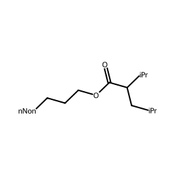 CCCCCCCCCCCCOC(=O)C(CC(C)C)C(C)C